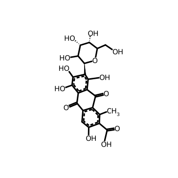 Cc1c(C(=O)O)c(O)cc2c1C(=O)c1c(O)c([C@@H]3OC(CO)[C@@H](O)[C@@H](O)C3O)c(O)c(O)c1C2=O